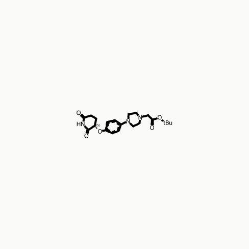 CC(C)(C)OC(=O)CN1CCN(c2ccc(O[C@H]3CCC(=O)NC3=O)cc2)CC1